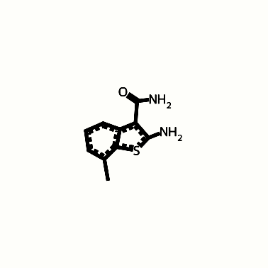 Cc1cccc2c(C(N)=O)c(N)sc12